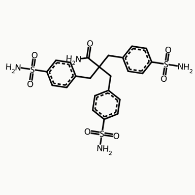 NC(=O)C(Cc1ccc(S(N)(=O)=O)cc1)(Cc1ccc(S(N)(=O)=O)cc1)Cc1ccc(S(N)(=O)=O)cc1